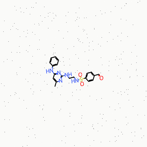 Cc1cc(Nc2ccccc2)nc(NCCNS(=O)(=O)c2ccc(C=O)cc2)n1